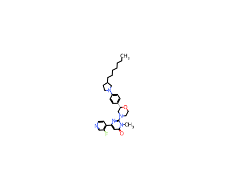 CCCCCCCC1CCN(c2ccc([C@H]3CN(c4nc(-c5ccncc5F)cc(=O)n4C)CCO3)cc2)C1